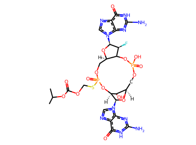 CC(C)OC(=O)OCSP1(=O)OC[C@H]2O[C@@H](n3cnc4c(=O)[nH]c(N)nc43)[C@@H](F)C2OP(=O)(O)OC[C@H]2O[C@@H](n3cnc4c(=O)[nH]c(N)nc43)[C@@H](O1)C2O